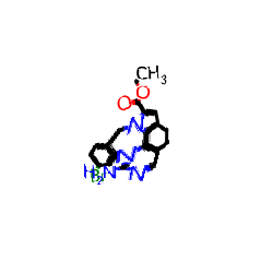 CCOC(=O)c1cc2c(n1Cc1ccc(Br)cc1)-c1nc(N)ncc1CC2